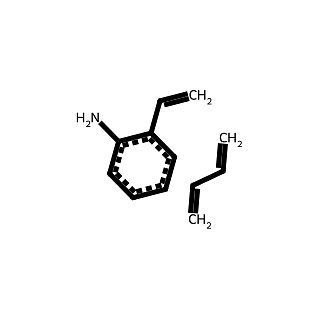 C=CC=C.C=Cc1ccccc1N